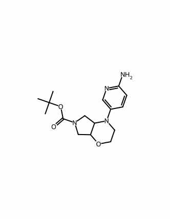 CC(C)(C)OC(=O)N1CC2OCCN(c3ccc(N)nc3)C2C1